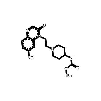 [C-]#[N+]c1ccc2ncc(=O)n(CCN3CCC(NC(=O)OC(C)(C)C)CC3)c2c1